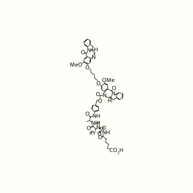 COc1cc2c(cc1OCCCCCOc1cc3c(cc1OC)C(=O)N1c4ccccc4C[C@H]1CN3C(=O)OCc1ccc(NC(=O)C(C)NC(=O)C(NS(=O)(=O)NC(=O)CCCCC(=O)O)C(C)C)cc1)N=C[C@@H]1Cc3ccccc3N1C2=O